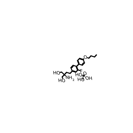 CCCCOc1ccc(-c2ccc(CCC(N)(CO)CO)cc2F)cc1.O=P(O)(O)O